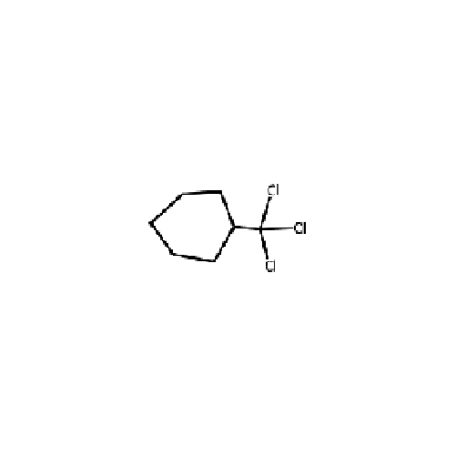 ClC(Cl)(Cl)[C]1CCCCC1